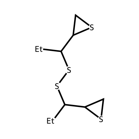 CCC(SSC(CC)C1CS1)C1CS1